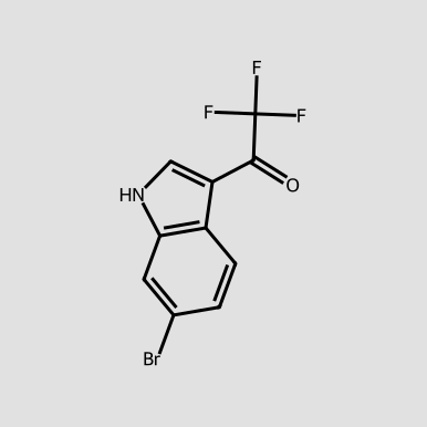 O=C(c1c[nH]c2cc(Br)ccc12)C(F)(F)F